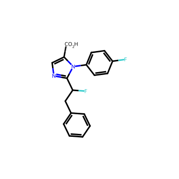 O=C(O)c1cnc(C(F)Cc2ccccc2)n1-c1ccc(F)cc1